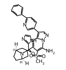 CS(=O)(=O)c1c(C2C[C@H]3CC[C@@H](C2)N3C(=O)c2ncc[nH]2)nc2c(-c3ccc(-c4ccccc4)nc3)cnn2c1N